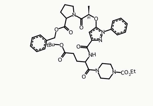 CCOC(=O)N1CCN(C(=O)C(CCC(=O)OC(C)(C)C)NC(=O)c2cc(O[C@H](C)C(=O)N3CCCC3C(=O)OCc3ccccc3)n(-c3ccccc3)n2)CC1